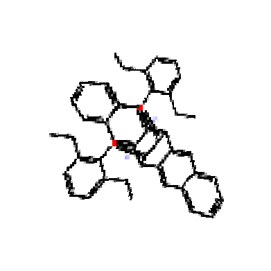 CCc1cccc(CC)c1/N=C1/C(=N/c2c(CC)cccc2CC)C2c3cc4ccccc4cc3C1c1cc3ccccc3cc12